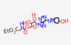 CCOC(=O)CNC(=O)OCC1OC(n2cnc3c(NCc4ccc(O)cc4)ncnc32)C(O)C1O